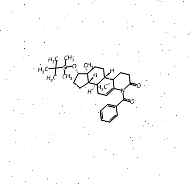 CC(C)(C)[Si](C)(C)O[C@H]1CC[C@H]2[C@@H]3CC=C4N(C(=O)c5ccccc5)C(=O)CC[C@]4(C)[C@H]3CC[C@]12C